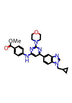 COC(=O)c1ccc(Nc2cc(-c3ccc4c(c3)ncn4CC3CC3)nc(N3CCOCC3)n2)cc1